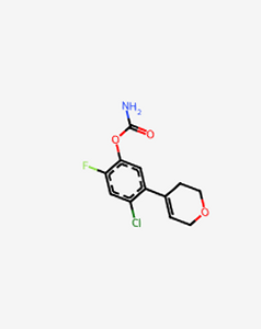 NC(=O)Oc1cc(C2=CCOCC2)c(Cl)cc1F